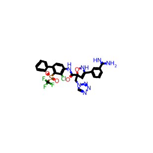 N=C(N)c1cccc(C2=CC(Cn3cnnn3)(C(=O)Nc3ccc(-c4ccccc4)c(S(=O)(=O)C(F)(F)F)c3Cl)ON2)c1